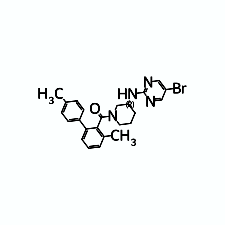 Cc1ccc(-c2cccc(C)c2C(=O)N2CCC[C@@H](Nc3ncc(Br)cn3)C2)cc1